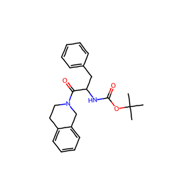 CC(C)(C)OC(=O)NC(Cc1ccccc1)C(=O)N1CCc2ccccc2C1